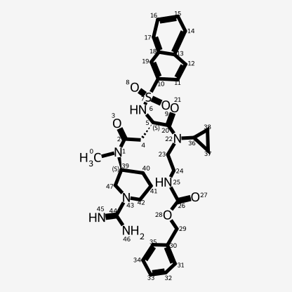 CN(C(=O)C[C@H](NS(=O)(=O)c1ccc2ccccc2c1)C(=O)N(CCNC(=O)OCc1ccccc1)C1CC1)[C@H]1CCCN(C(=N)N)C1